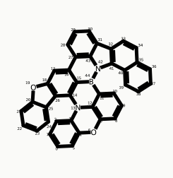 c1ccc2c(c1)Oc1cccc3c1N2c1c2c(cc4oc5ccccc5c14)-c1cccc4c5ccc6ccccc6c5n(c14)B32